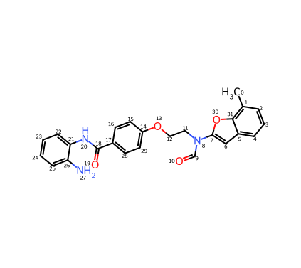 Cc1cccc2cc(N(C=O)CCOc3ccc(C(=O)Nc4ccccc4N)cc3)oc12